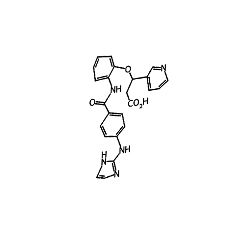 O=C(O)CC(Oc1ccccc1NC(=O)c1ccc(Nc2ncc[nH]2)cc1)c1cccnc1